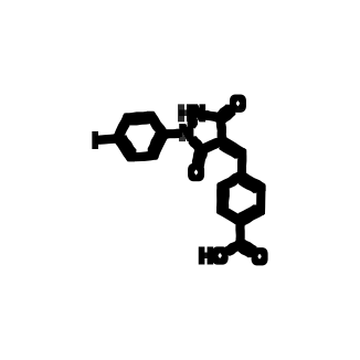 O=C1NN(c2ccc(I)cc2)C(=O)C1=Cc1ccc(C(=O)O)cc1